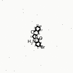 Nc1ccc(Br)cc1C(=O)N1CCC[C@@H]1Cc1ccccc1Cl